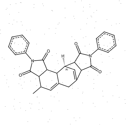 CC1C=C2CC3=C[C@H](C4C(=O)N(c5ccccc5)C(=O)C34)C2C2C(=O)N(c3ccccc3)C(=O)C12